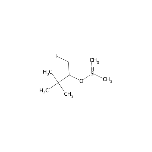 C[SiH](C)OC(CI)C(C)(C)C